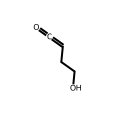 O=C=CCCO